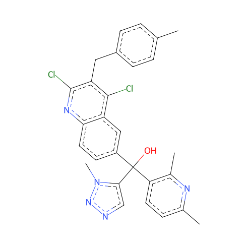 Cc1ccc(Cc2c(Cl)nc3ccc(C(O)(c4ccc(C)nc4C)c4cnnn4C)cc3c2Cl)cc1